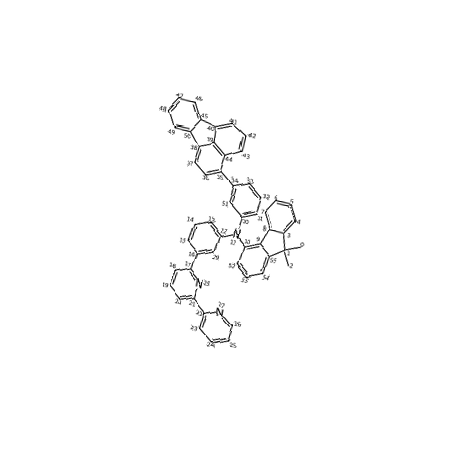 CC1(C)c2ccccc2-c2c(N(c3cccc(-c4cccc(-c5ccccn5)n4)c3)c3cccc(-c4ccc5c6c(cccc46)-c4ccccc4-5)c3)cccc21